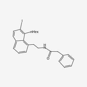 CCCCCCc1c(I)ccc2cccc(CCNC(=O)Cc3ccccc3)c12